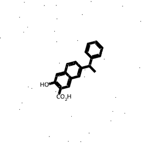 CC(c1ccccc1)c1ccc2cc(O)c(C(=O)O)cc2c1